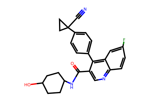 N#CC1(c2ccc(-c3c(C(=O)NC4CCC(O)CC4)cnc4ccc(F)cc34)cc2)CC1